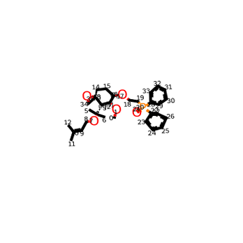 CO[C@H]1[C@H](C(C)(C)OCC=C(C)C)[C@]2(CC[C@H]1OCCP(=O)(c1ccccc1)c1ccccc1)CO2